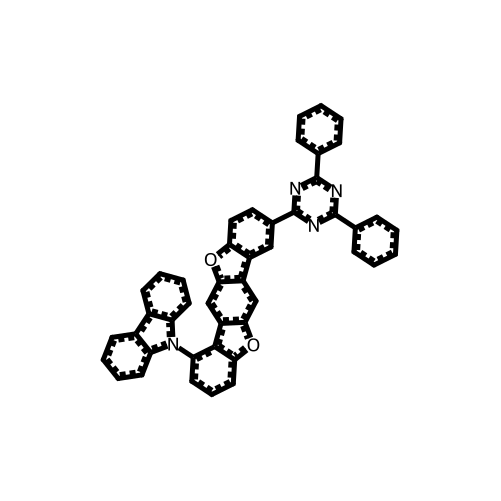 c1ccc(-c2nc(-c3ccccc3)nc(-c3ccc4oc5cc6c(cc5c4c3)oc3cccc(-n4c5ccccc5c5ccccc54)c36)n2)cc1